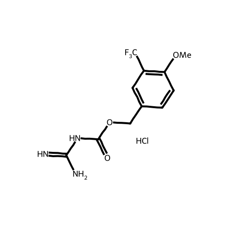 COc1ccc(COC(=O)NC(=N)N)cc1C(F)(F)F.Cl